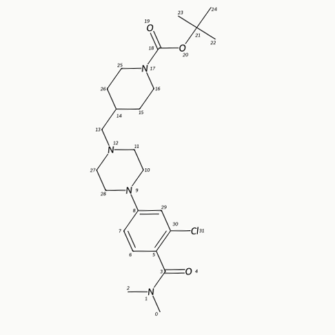 CN(C)C(=O)c1ccc(N2CCN(CC3CCN(C(=O)OC(C)(C)C)CC3)CC2)cc1Cl